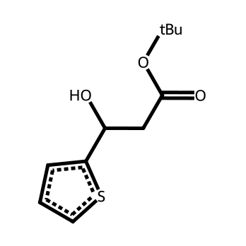 CC(C)(C)OC(=O)CC(O)c1cccs1